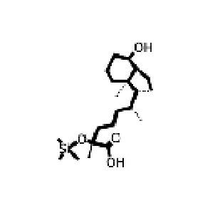 C[C@H](CCC[C@@](C)(O[Si](C)(C)C)C(=O)O)[C@H]1CCC2C(O)CCC[C@@]21C